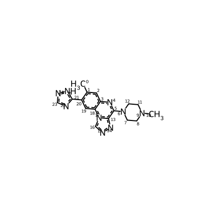 Cc1cc2nc(N3CCN(C)CC3)c3nncn3c2cc1-c1ncn[nH]1